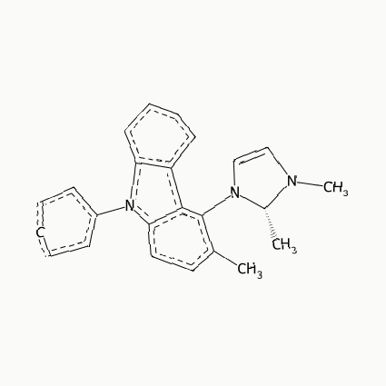 Cc1ccc2c(c1N1C=CN(C)[C@@H]1C)c1ccccc1n2-c1ccccc1